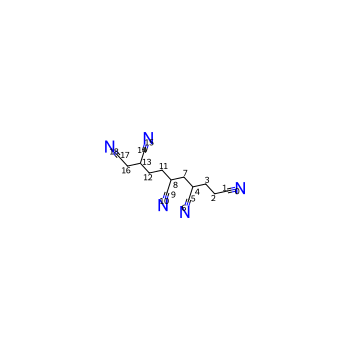 N#CCCC(C#N)CC(C#N)CCC(C#N)CC#N